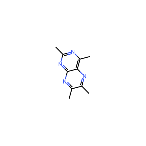 Cc1nc(C)c2nc(C)c(C)nc2n1